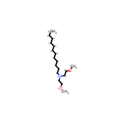 COCCN(CCCCCCCCCCC[SiH2])CCOC